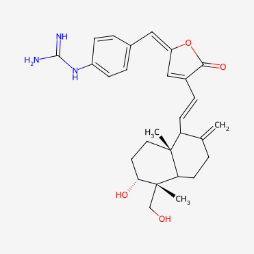 C=C1CCC2[C@](C)(CC[C@@H](O)[C@@]2(C)CO)C1/C=C/C1=CC(=C\c2ccc(NC(=N)N)cc2)/OC1=O